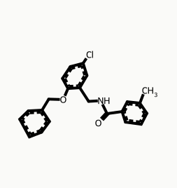 Cc1cccc(C(=O)NCc2cc(Cl)ccc2OCc2ccccc2)c1